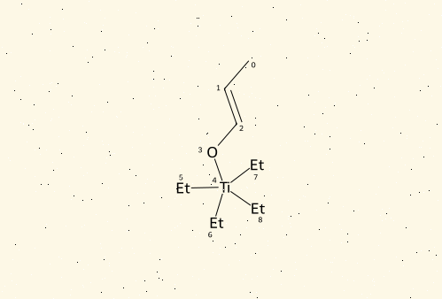 CC=C[O][Ti]([CH2]C)([CH2]C)([CH2]C)[CH2]C